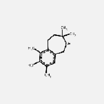 Cc1cc2c(c(C)c1O)CCC(C)(C)NC2